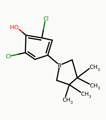 CC1(C)CB(c2cc(Cl)c(O)c(Cl)c2)CC1(C)C